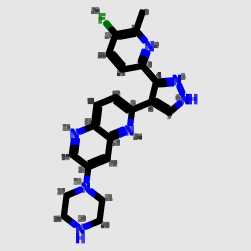 Cc1nc(-c2n[nH]cc2-c2ccc3ncc(N4CCNCC4)cc3n2)ccc1F